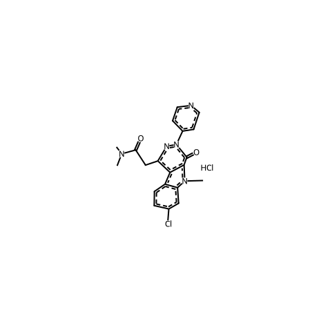 CN(C)C(=O)Cc1nn(-c2ccncc2)c(=O)c2c1c1ccc(Cl)cc1n2C.Cl